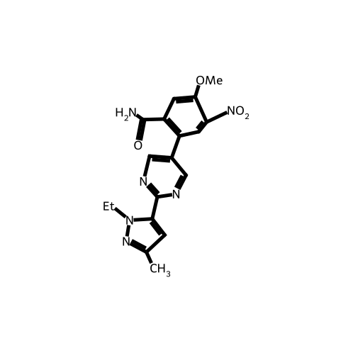 CCn1nc(C)cc1-c1ncc(-c2cc([N+](=O)[O-])c(OC)cc2C(N)=O)cn1